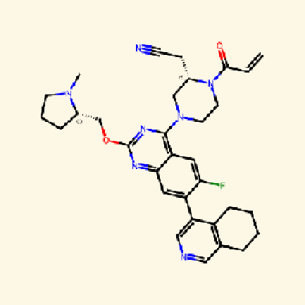 C=CC(=O)N1CCN(c2nc(OC[C@@H]3CCCN3C)nc3cc(-c4cncc5c4CCCC5)c(F)cc23)C[C@@H]1CC#N